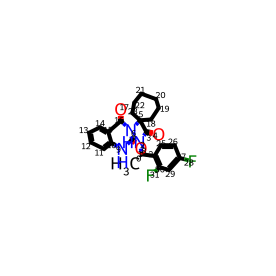 C[C@H](NC(=O)C1(n2c(=O)[nH]c3ccccc3c2=O)CCCCCC1)c1ccc(F)cc1F